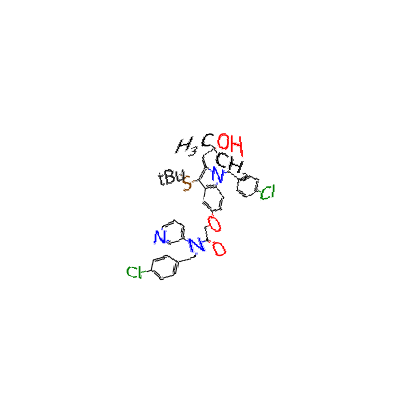 CC(C)(O)Cc1c(SC(C)(C)C)c2cc(OCC(=O)N(Cc3ccc(Cl)cc3)c3cccnc3)ccc2n1Cc1ccc(Cl)cc1